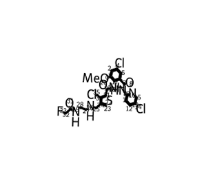 COc1cc(Cl)cc(C(=O)Nc2ccc(Cl)cn2)c1NC(=O)c1scc(CNCCNC(=O)CF)c1Cl